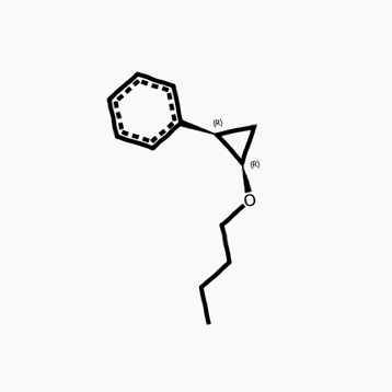 CCCCO[C@@H]1C[C@@H]1c1ccccc1